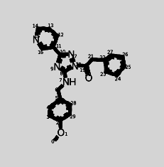 COc1ccc(CNc2nc(-c3cccnc3)nn2C(=O)Cc2ccccc2)cc1